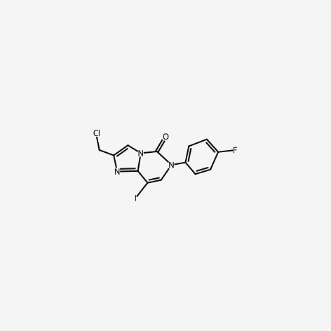 O=c1n(-c2ccc(F)cc2)cc(I)c2nc(CCl)cn12